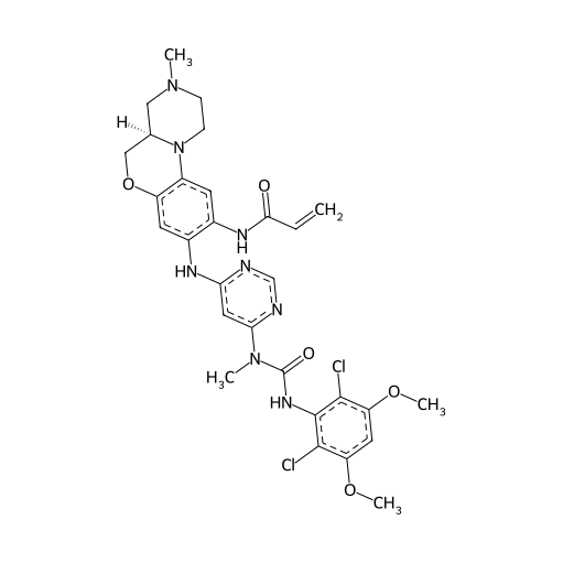 C=CC(=O)Nc1cc2c(cc1Nc1cc(N(C)C(=O)Nc3c(Cl)c(OC)cc(OC)c3Cl)ncn1)OC[C@H]1CN(C)CCN21